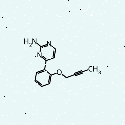 CC#CCOc1ccccc1-c1ccnc(N)n1